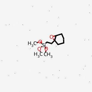 CO[Si](CCC12CCCCC1O2)(OC)OC